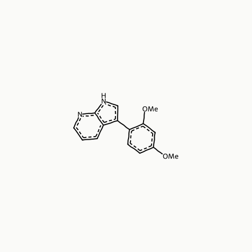 COc1ccc(-c2c[nH]c3ncccc23)c(OC)c1